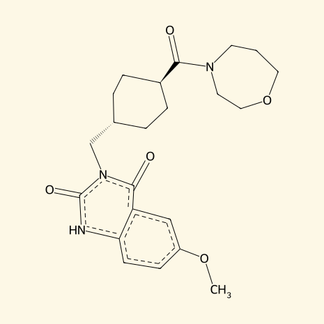 COc1ccc2[nH]c(=O)n(C[C@H]3CC[C@H](C(=O)N4CCCOCC4)CC3)c(=O)c2c1